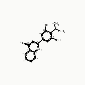 CC(C)c1c(O)cc(-c2cc(=O)c3ccccc3o2)cc1O